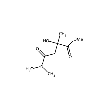 COC(=O)C(C)(O)CC(=O)N(C)C